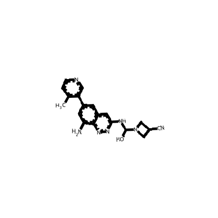 Cc1ccncc1-c1cc(N)c2nnc(NC(O)N3CC(C#N)C3)cc2c1